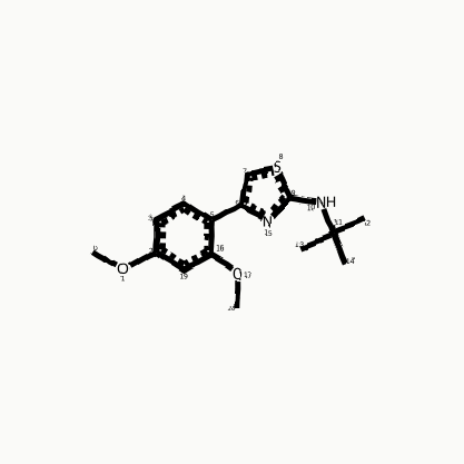 COc1ccc(-c2csc(NC(C)(C)C)n2)c(OC)c1